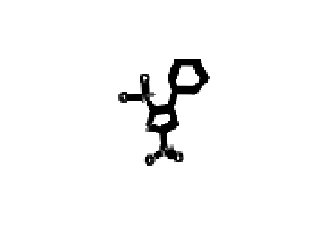 O=[N+]([O-])c1cc(-c2ccccc2)c([N+](=O)[O-])s1